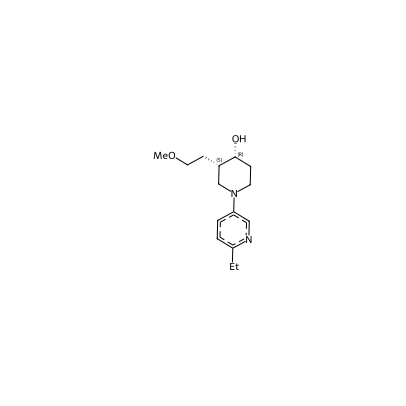 CCc1ccc(N2CC[C@@H](O)[C@@H](CCOC)C2)cn1